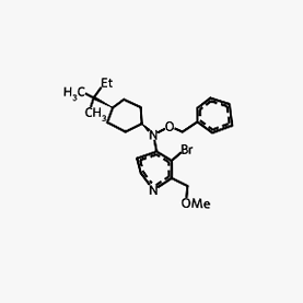 CCC(C)(C)[C@H]1CC[C@@H](N(OCc2ccccc2)c2ccnc(COC)c2Br)CC1